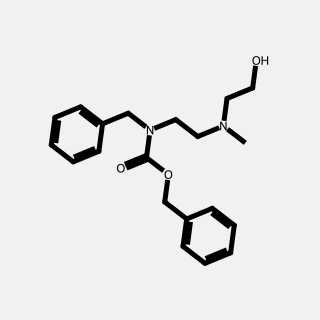 CN(CCO)CCN(Cc1ccccc1)C(=O)OCc1ccccc1